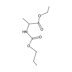 CCCOC(=O)NC(C)C(=O)OCC